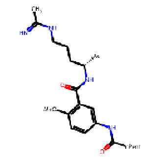 CCCCCC(=O)Nc1ccc(OC)c(C(=O)N[C@H](CCCNC(C)=N)C(C)=O)c1